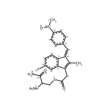 CC(=O)NC(CSC(=O)CC1=C(C)/C(=C/c2ccc([S+](C)[O-])cc2)c2ccc(F)cc21)C(N)=O